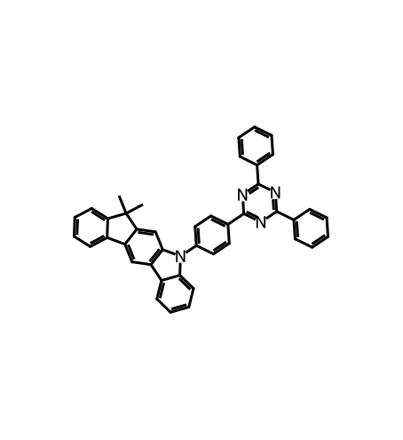 CC1(C)c2ccccc2-c2cc3c4ccccc4n(-c4ccc(-c5nc(-c6ccccc6)nc(-c6ccccc6)n5)cc4)c3cc21